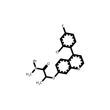 CC(Oc1ccc2c(-c3ccc(F)cc3Cl)ccnc2c1)C(=O)N(C)C(C)C